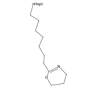 CCCCCCCCCCCCCCC1=NCCCO1